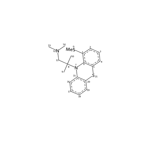 CSc1cccc2c1N(C(C)(C)CN(C)C)c1ccccc1S2